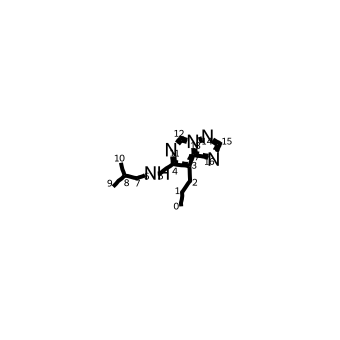 CCCc1c(CNCC(C)C)ncn2ncnc12